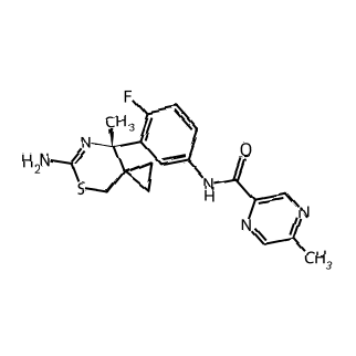 Cc1cnc(C(=O)Nc2ccc(F)c([C@@]3(C)N=C(N)SCC34CC4)c2)cn1